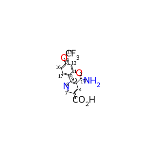 NC(=O)c1cc(C(=O)O)cnc1-c1ccc(OC(F)(F)F)cc1